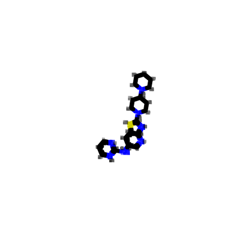 c1cnc(Nc2cnc3nc(N4CCC(N5CCCCC5)CC4)sc3c2)nc1